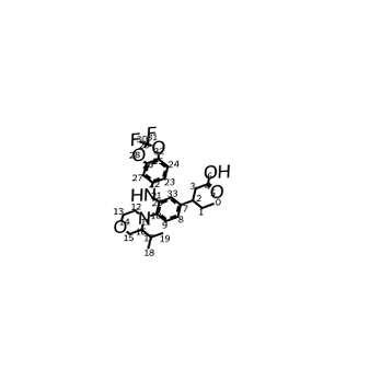 CCC(CC(=O)O)c1ccc(N2CCOCC2C(C)C)c(Nc2ccc3c(c2)OC(F)(F)O3)c1